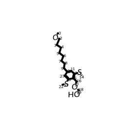 COCCCCCCCCc1cc(SC)c(COCO)c(SC)c1